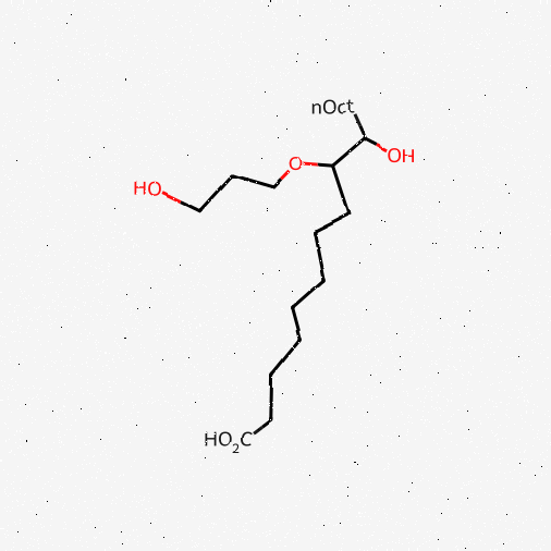 CCCCCCCCC(O)C(CCCCCCCC(=O)O)OCCCO